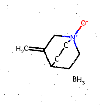 B.C=C1C[N+]2([O-])CCC1CC2